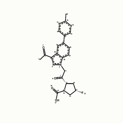 CC(=O)c1nn(CC(=O)[C@@H]2C[C@H](F)CN2C(=O)O)c2ccc(-c3cnc(C)nc3)cc12